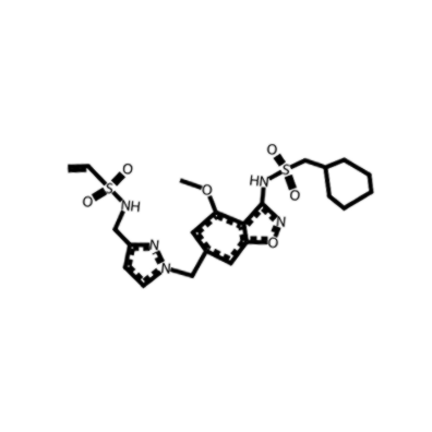 C=CS(=O)(=O)NCc1ccn(Cc2cc(OC)c3c(NS(=O)(=O)CC4CCCCC4)noc3c2)n1